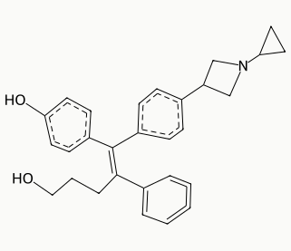 OCCC/C(C1=CC=C=C=C1)=C(\c1ccc(O)cc1)c1ccc(C2CN(C3CC3)C2)cc1